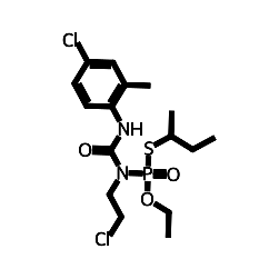 CCOP(=O)(SC(C)CC)N(CCCl)C(=O)Nc1ccc(Cl)cc1C